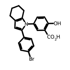 O=C(O)c1cc(-n2c(-c3ccc(Br)cc3)cc3c2CCCC3)ccc1O